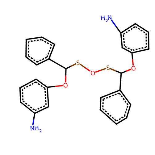 Nc1cccc(OC(SOSC(Oc2cccc(N)c2)c2ccccc2)c2ccccc2)c1